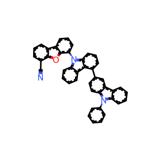 N#Cc1cccc2c1oc1c(-n3c4ccccc4c4c(-c5ccc6c(c5)c5ccccc5n6-c5ccccc5)cccc43)cccc12